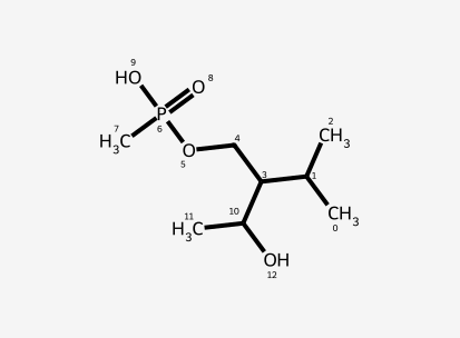 CC(C)C(COP(C)(=O)O)C(C)O